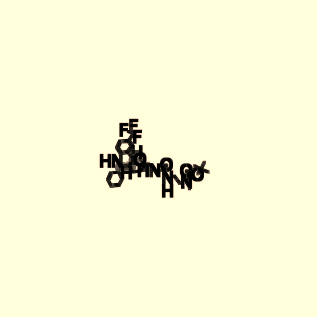 CN(CCNC(=O)NC[C@H]1CC[C@@H]2[C@H](O1)c1cc(C(F)(F)F)ccc1N[C@H]2C1C=CC=CC1)C(=O)OC(C)(C)C